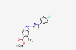 CCCCCCCCOC(=O)c1ccc(Nc2nc(-c3ccc(F)cc3)cs2)cc1C(F)(F)F